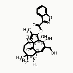 CC1=C[C@]23C(=O)[C@@H](C=C(CO)[C@@H](O)[C@]2(O)[C@H]1OC(=O)c1noc2ccccc12)[C@@H](C)C(C)(C)CC[C@H]3C